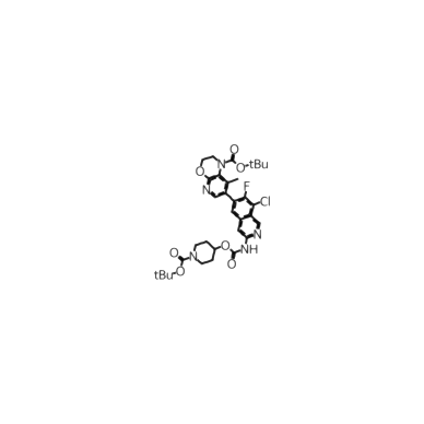 Cc1c(-c2cc3cc(NC(=O)OC4CCN(C(=O)OC(C)(C)C)CC4)ncc3c(Cl)c2F)cnc2c1N(C(=O)OC(C)(C)C)CCO2